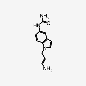 NC=CCn1ccc2cc(NC(N)=O)ccc21